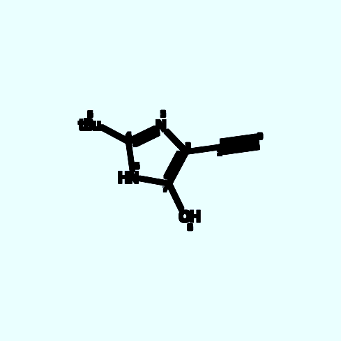 C#Cc1nc(C(C)(C)C)[nH]c1O